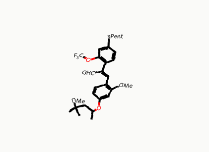 CCCCCc1ccc(/C(C=O)=C/c2ccc(OC(C)CC(C)(C)OC)cc2OC)c(OC(F)(F)F)c1